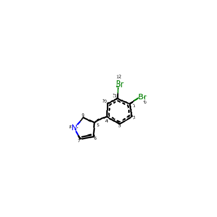 Brc1ccc(C2C=C[N]C2)cc1Br